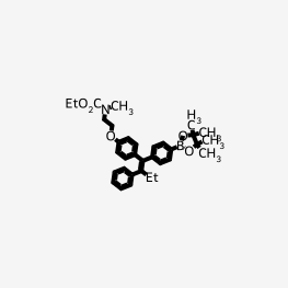 CCOC(=O)N(C)CCOc1ccc(C(=C(CC)c2ccccc2)c2ccc(B3OC(C)(C)C(C)(C)O3)cc2)cc1